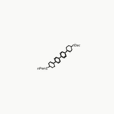 CCCCCCCCCCC1CC=C(c2ccc(-c3ccc(C4=CCC(CCCCC)CC4)cc3)cc2)CC1